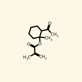 C=C(C)C(=O)OC1(C)CCCCC1C(C)=O